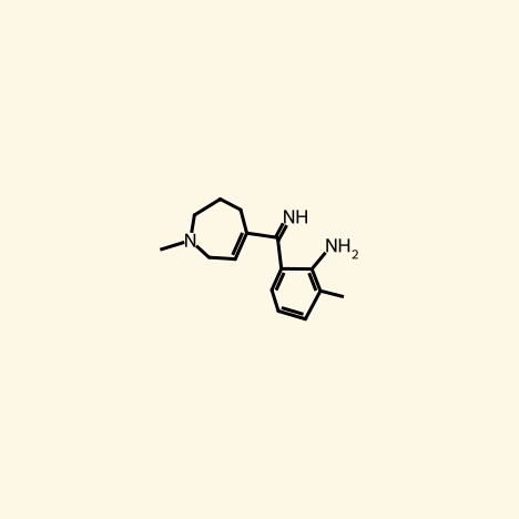 Cc1cccc(C(=N)C2=CCN(C)CCC2)c1N